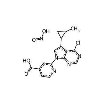 CC1CC1c1cn(-c2cc(C(=O)O)ccn2)c2ncnc(Cl)c12.O=NO